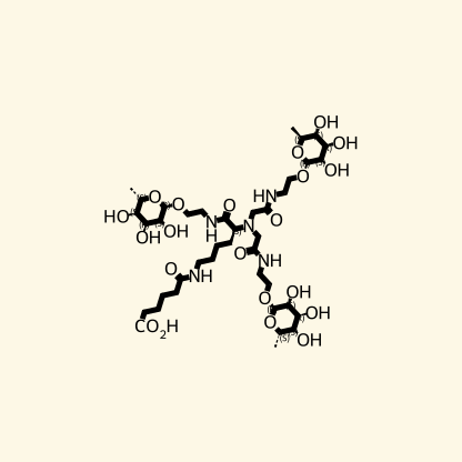 C[C@@H]1O[C@@H](OCCNC(=O)CN(CC(=O)NCCO[C@@H]2O[C@@H](C)[C@@H](O)[C@@H](O)[C@@H]2O)[C@@H](CCCCNC(=O)CCCCC(=O)O)C(=O)NCCO[C@@H]2O[C@@H](C)[C@@H](O)[C@@H](O)[C@@H]2O)[C@@H](O)[C@H](O)[C@@H]1O